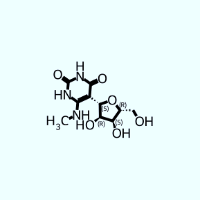 CNc1[nH]c(=O)[nH]c(=O)c1[C@@H]1O[C@H](CO)[C@@H](O)[C@H]1O